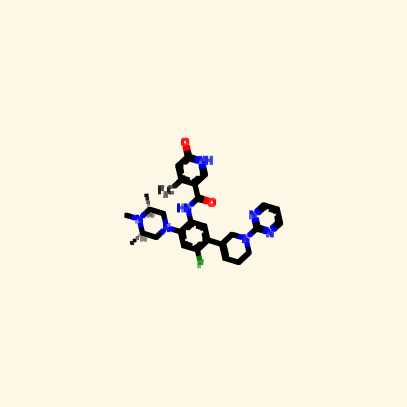 C[C@@H]1CN(c2cc(F)c(C3=CCCN(c4ncccn4)C3)cc2NC(=O)c2c[nH]c(=O)cc2C(F)(F)F)C[C@H](C)N1C